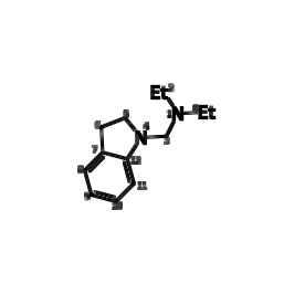 CCN(CC)CN1CCc2ccccc21